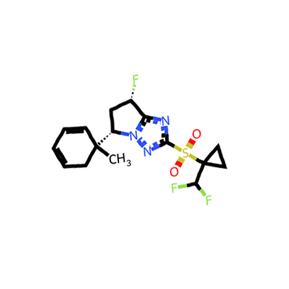 CC1([C@@H]2C[C@H](F)c3nc(S(=O)(=O)C4(C(F)F)CC4)nn32)C=CC=CC1